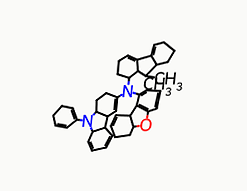 CC1(C)C2CCCC=C2C2=CCCC(N(C3=CC4C5C=CC=CC5N(C5=CCCC=C5)C4CC3)c3cccc4c3C3C=CCCC3O4)C21